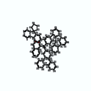 c1ccc2c(c1)-c1ccc(-c3cc4c(cc3N(c3ccc5c6ccccc6c6ccccc6c5c3)c3cccc5ccccc35)C3(c5ccccc5-c5ccccc53)c3ccccc3-4)cc1C21CCCC1